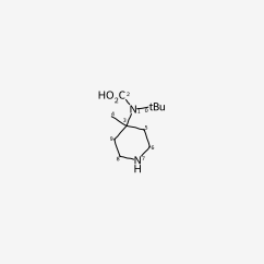 CC(C)(C)N(C(=O)O)C1(C)CCNCC1